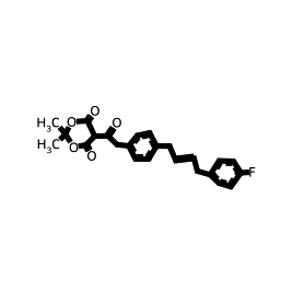 CC1(C)OC(=O)C(C(=O)Cc2ccc(C/C=C/Cc3ccc(F)cc3)cc2)C(=O)O1